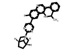 CC(Nc1c(Cl)cnc2cc(F)c(-c3cnc(N4C[C@H]5CC[C@@H](C4)C5C(=O)O)nc3)cc12)c1ccccc1F